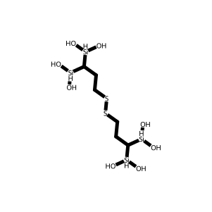 O[SiH](O)C(CCSSCCC([SiH](O)O)[SiH](O)O)[SiH](O)O